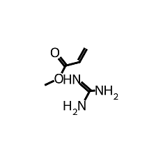 C=CC(=O)OC.N=C(N)N